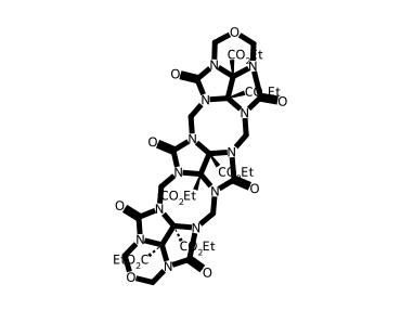 CCOC(=O)[C@]12N3COCN1C(=O)N1CN4C(=O)N5CN6C(=O)N7COCN8C(=O)N(CN9C(=O)N(CN(C3=O)[C@]12C(=O)OCC)[C@]4(C(=O)OCC)[C@@]59C(=O)OCC)[C@@]6(C(=O)OCC)[C@@]87C(=O)OCC